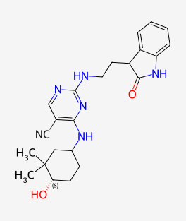 CC1(C)CC(Nc2nc(NCCC3C(=O)Nc4ccccc43)ncc2C#N)CC[C@@H]1O